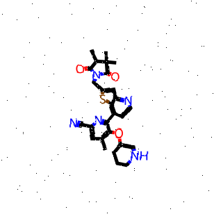 Cc1cc(C#N)nc(-c2ccnc3cc(CN4C(=O)C(C)C(C)(C)C4=O)sc23)c1OC1CCCNC1